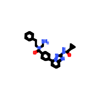 NCN(CCc1ccccc1)C(=O)c1ccc(-c2cccc3nc(NC(=O)C4CC4)nn23)cc1